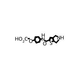 O=C(O)COc1ccc(NC(=O)c2cc3c(s2)CCNC3)cc1